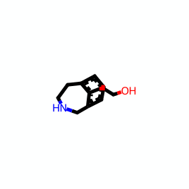 OCCc1c2cccc1CNCC2